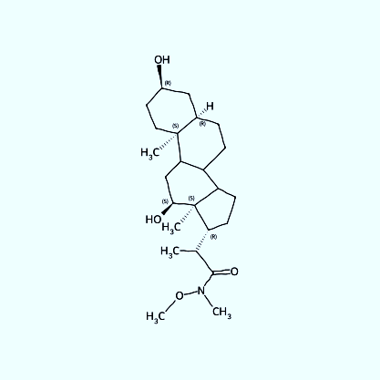 CON(C)C(=O)C(C)[C@H]1CCC2C3CC[C@@H]4C[C@H](O)CC[C@]4(C)C3C[C@H](O)[C@@]21C